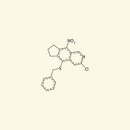 O=[N+]([O-])c1c2c(c(SCc3ccccc3)c3cc(Cl)ncc13)CCC2